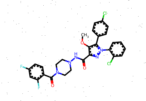 COc1c(C(=O)NN2CCN(C(=O)c3ccc(F)cc3F)CC2)nn(-c2ccccc2Cl)c1-c1ccc(Cl)cc1